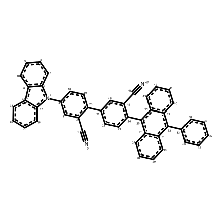 N#Cc1cc(-n2c3ccccc3c3ccccc32)ccc1-c1ccc(-c2c3ccccc3c(-c3ccccc3)c3ccccc23)c(C#N)c1